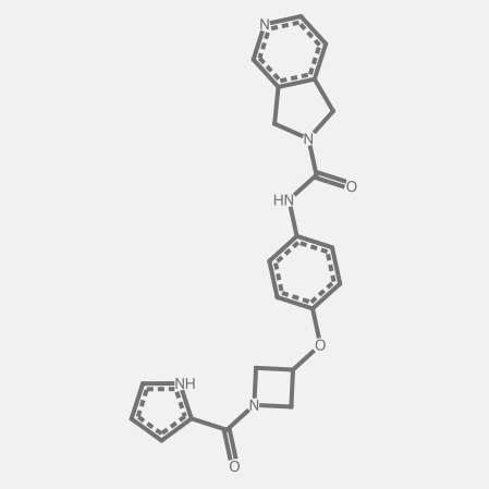 O=C(Nc1ccc(OC2CN(C(=O)c3ccc[nH]3)C2)cc1)N1Cc2ccncc2C1